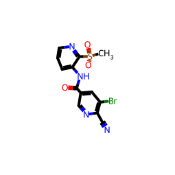 CS(=O)(=O)c1ncccc1NC(=O)c1cnc(C#N)c(Br)c1